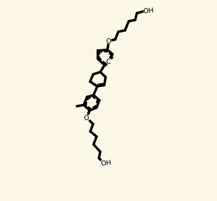 Cc1cc(C2=CCC(c3ccc(OCCCCCCO)cc3)CC2)ccc1OCCCCCCO